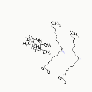 C=C(C)C(=O)O.C=C(C)C(=O)O.CCCCCCCC/C=C\CCCCCCCC(=O)[O-].CCCCCCCC/C=C\CCCCCCCC(=O)[O-].[Zn+2]